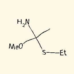 CCSC(C)(N)OC